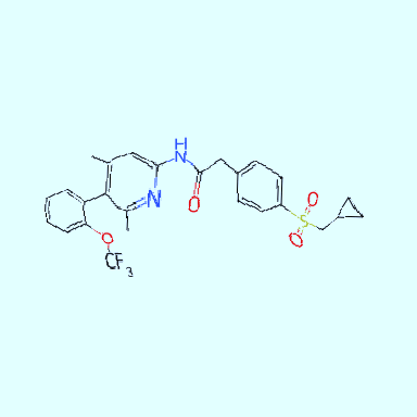 Cc1cc(NC(=O)Cc2ccc(S(=O)(=O)CC3CC3)cc2)nc(C)c1-c1ccccc1OC(F)(F)F